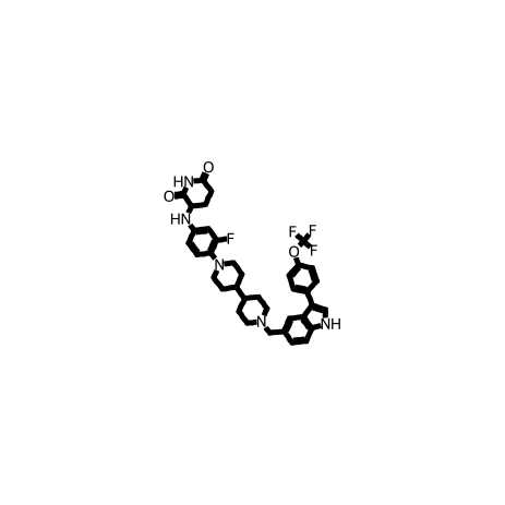 O=C1CCC(Nc2ccc(N3CCC(C4CCN(Cc5ccc6[nH]cc(-c7ccc(OC(F)(F)F)cc7)c6c5)CC4)CC3)c(F)c2)C(=O)N1